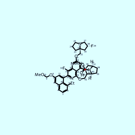 CCc1cccc2cc(OCOC)cc(-c3nc4c5c(nc(OC[C@@]67CCCN6C[C@H](F)C7)nc5c3F)N3C[C@H]5CC[C@@H]([C@H]3CO4)N5C(=O)OC(C)(C)C)c12